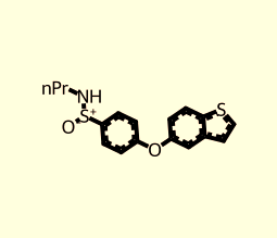 CCCN[S+]([O-])c1ccc(Oc2ccc3sccc3c2)cc1